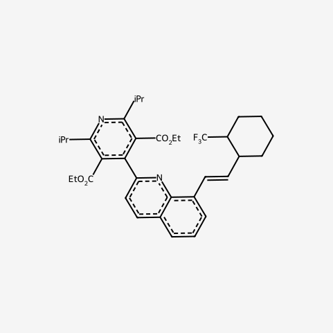 CCOC(=O)c1c(C(C)C)nc(C(C)C)c(C(=O)OCC)c1-c1ccc2cccc(C=CC3CCCCC3C(F)(F)F)c2n1